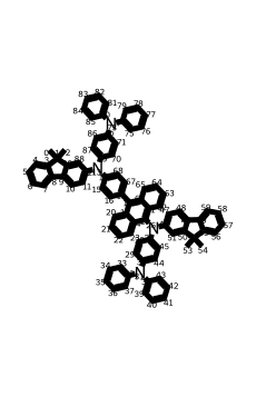 CC1(C)c2ccccc2-c2ccc(N(c3ccc(-c4c5ccccc5c(N(c5ccc(N(c6ccccc6)c6ccccc6)cc5)c5ccc6c(c5)C(C)(C)c5ccccc5-6)c5ccccc45)cc3)c3ccc(N(c4ccccc4)c4ccccc4)cc3)cc21